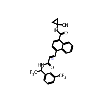 N#CC1(NC(=O)c2ccc(/C=C/C(=O)NC(c3cccc(C(F)(F)F)c3)C(F)(F)F)c3ccccc23)CC1